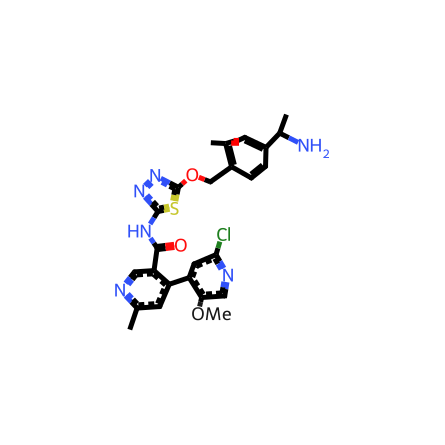 C/C=C(\C=C/C(COc1nnc(NC(=O)c2cnc(C)cc2-c2cc(Cl)ncc2OC)s1)=C(C)C)C(C)N